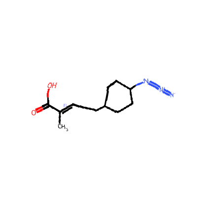 C/C(=C\CC1CCC(N=[N+]=[N-])CC1)C(=O)O